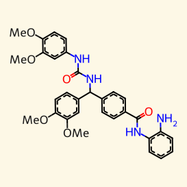 COc1ccc(NC(=O)NC(c2ccc(C(=O)Nc3ccccc3N)cc2)c2ccc(OC)c(OC)c2)cc1OC